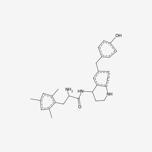 Cc1cc(C)c(CC(N)C(=O)NC2CCNc3ccc(Cc4ccc(O)cc4)cc32)c(C)c1